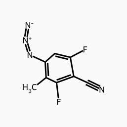 Cc1c(N=[N+]=[N-])cc(F)c(C#N)c1F